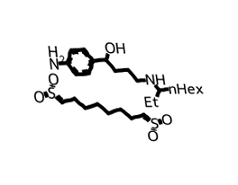 CCCCCCC(CC)NCCCC(O)c1ccc(N)cc1.O=S(=O)=CCCCCCCC=S(=O)=O